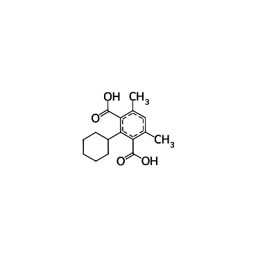 Cc1cc(C)c(C(=O)O)c(C2CCCCC2)c1C(=O)O